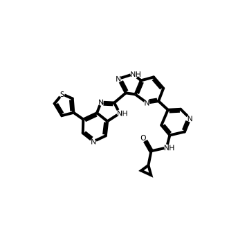 O=C(Nc1cncc(-c2ccc3[nH]nc(-c4nc5c(-c6ccsc6)cncc5[nH]4)c3n2)c1)C1CC1